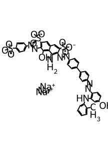 Cc1ccccc1Nc1cc(O)ccc1N=Nc1ccc(-c2ccc(N=Nc3c(S(=O)(=O)[O-])cc4cc(S(=O)(=O)[O-])c(N=Nc5ccc(S(=O)(=O)[O-])cc5)c(O)c4c3N)cc2)cc1.[Na+].[Na+].[Na+]